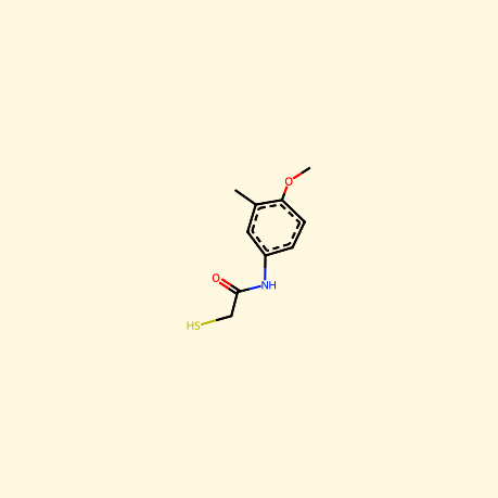 COc1ccc(NC(=O)CS)cc1C